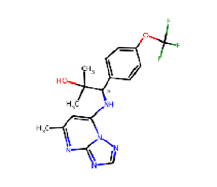 Cc1cc(N[C@H](c2ccc(OC(F)(F)F)cc2)C(C)(C)O)n2ncnc2n1